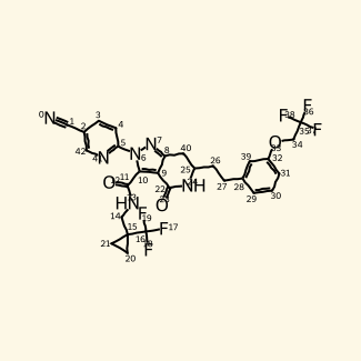 N#Cc1ccc(-n2nc3c(c2C(=O)NCC2(C(F)(F)F)CC2)C(=O)NC(CCc2cccc(OCC(F)(F)F)c2)C3)nc1